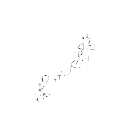 CN(C)C(=O)c1cc2cnc(Nc3ccc(N4CCN(C5CC(Oc6cccc7c6CN([C@@H]6CCC(=O)NC6=O)C7=O)C5)CC4)cn3)nc2n1C1CCCC1